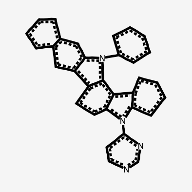 c1ccc(-n2c3cc4ccccc4cc3c3ccc4c(c5ccccc5n4-c4ccncn4)c32)cc1